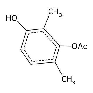 CC(=O)Oc1c(C)ccc(O)c1C